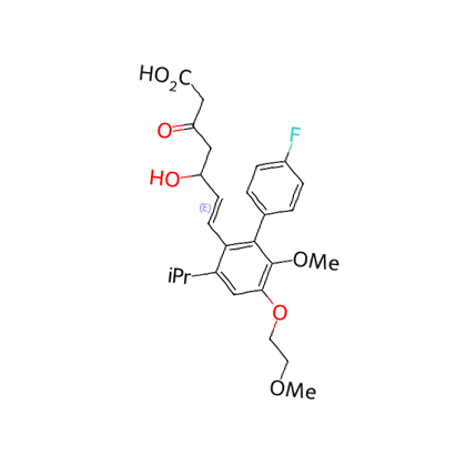 COCCOc1cc(C(C)C)c(/C=C/C(O)CC(=O)CC(=O)O)c(-c2ccc(F)cc2)c1OC